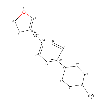 C1=COCC1.CCCC1CCC(c2ccc(C#N)cc2)CC1